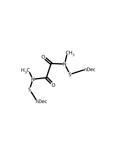 CCCCCCCCCCSN(C)C(=O)C(=O)N(C)SCCCCCCCCCC